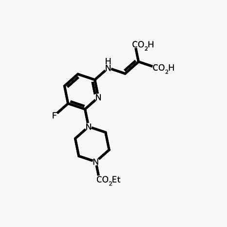 CCOC(=O)N1CCN(c2nc(NC=C(C(=O)O)C(=O)O)ccc2F)CC1